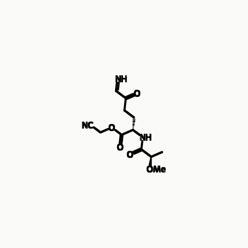 CO[C@H](C)C(=O)N[C@@H](CCC(=O)C=N)C(=O)OCC#N